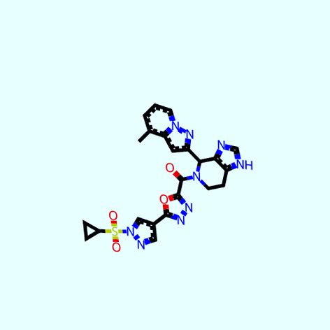 Cc1cccn2nc(C3c4nc[nH]c4CCN3C(=O)c3nnc(-c4cnn(S(=O)(=O)C5CC5)c4)o3)cc12